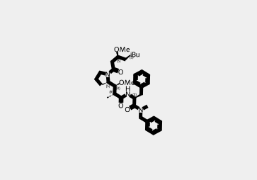 CC[C@H](C)C[C@@H](CC(=O)N1CCC[C@H]1[C@H](OC)[C@@H](C)C(=O)N[C@@H](Cc1ccccc1)C(=O)N(C)Cc1ccccc1)OC